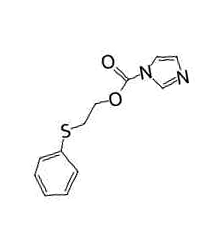 O=C(OCCSc1ccccc1)n1ccnc1